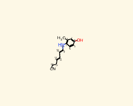 Cc1cc(O)ccc1NCCCCCCC#N